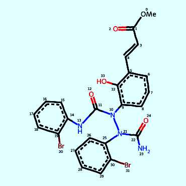 COC(=O)/C=C/c1cccc(N(C(=O)Nc2ccccc2Br)N(C(N)=O)c2ccccc2Br)c1O